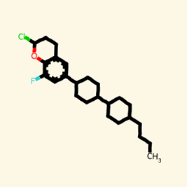 CCCCC1CCC(C2CCC(c3cc(F)c4c(c3)CCC(Cl)O4)CC2)CC1